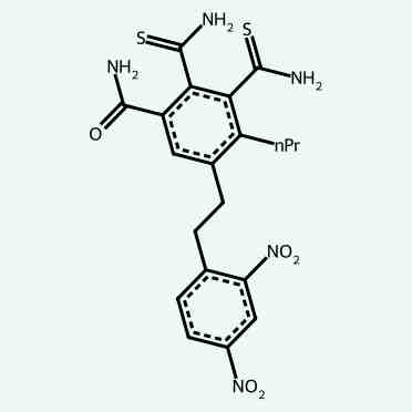 CCCc1c(CCc2ccc([N+](=O)[O-])cc2[N+](=O)[O-])cc(C(N)=O)c(C(N)=S)c1C(N)=S